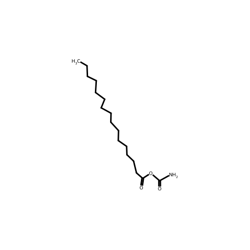 CCCCCCCCCCCCCCCC(=O)OC(N)=O